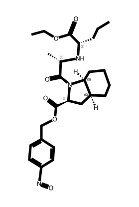 CCC[C@H](N[C@@H](C)C(=O)N1[C@H](C(=O)OCc2ccc(N=O)cc2)C[C@@H]2CCCC[C@@H]21)C(=O)OCC